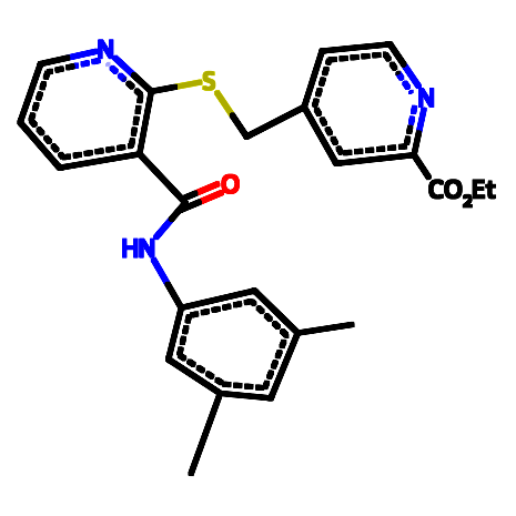 CCOC(=O)c1cc(CSc2ncccc2C(=O)Nc2cc(C)cc(C)c2)ccn1